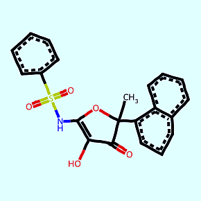 CC1(c2cccc3ccccc23)OC(NS(=O)(=O)c2ccccc2)=C(O)C1=O